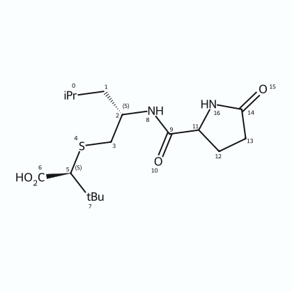 CC(C)C[C@@H](CS[C@H](C(=O)O)C(C)(C)C)NC(=O)C1CCC(=O)N1